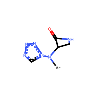 CC(=O)N(C1CNC1=O)n1cnnn1